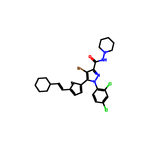 O=C(NN1CCCCC1)c1nn(-c2ccc(Cl)cc2Cl)c(-c2ccc(C=CC3CCCCC3)[se]2)c1Br